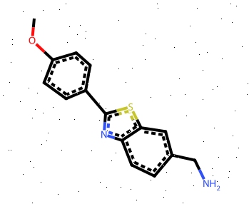 COc1ccc(-c2nc3ccc(CN)cc3s2)cc1